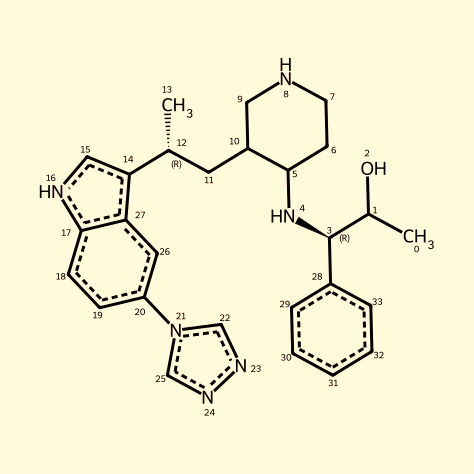 CC(O)[C@H](NC1CCNCC1C[C@@H](C)c1c[nH]c2ccc(-n3cnnc3)cc12)c1ccccc1